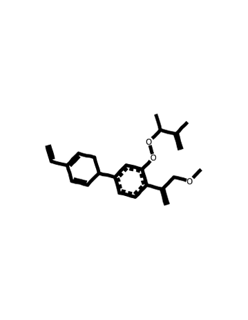 C=CC1=CCC(c2ccc(C(=C)COC)c(OOC(C)C(=C)C)c2)C=C1